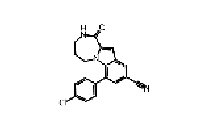 N#Cc1cc(-c2ccc(Cl)cc2)c2c(c1)cc1n2CCCNC1=O